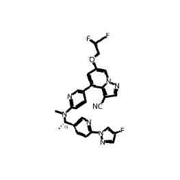 C[C@@H](c1ccc(-n2cc(F)cn2)nc1)N(C)c1ccc(-c2cc(OCC(F)F)cn3ncc(C#N)c23)cn1